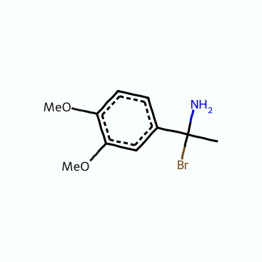 COc1ccc(C(C)(N)Br)cc1OC